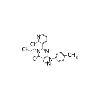 Cc1ccc(-n2ncc3c(=O)n(CCCl)c(-c4cccnc4Cl)nc32)cc1